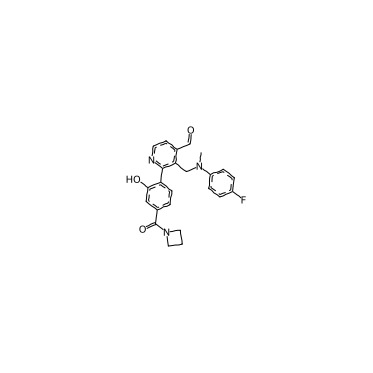 CN(Cc1c(C=O)ccnc1-c1ccc(C(=O)N2CCC2)cc1O)c1ccc(F)cc1